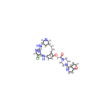 O=C(COc1ccc2cc1CCc1cncc(c1)Nc1ncc(Cl)c(n1)N2)N1CCN(c2nccc3occc23)CC1